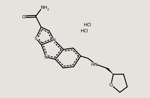 Cl.Cl.NC(=O)c1cn2c(nc3ccc(CNC[C@H]4CCCO4)cc32)s1